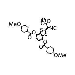 [C-]#[N+]C(C(=O)OC(C)C)=C1Sc2c(OC(=O)C3CCC(OC)CC3)ccc(OC(=O)C3CCC(OC)CC3)c2S1